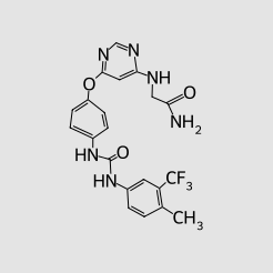 Cc1ccc(NC(=O)Nc2ccc(Oc3cc(NCC(N)=O)ncn3)cc2)cc1C(F)(F)F